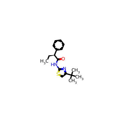 CC[C@H](C(=O)Nc1nc(C(C)(C)C)cs1)c1ccccc1